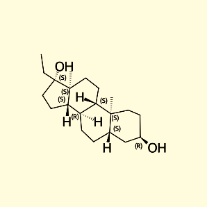 CC[C@]1(O)CC[C@H]2[C@@H]3CC[C@H]4C[C@H](O)CC[C@]4(C)[C@H]3CC[C@@]21C